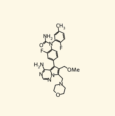 COCc1c(-c2ccc(N(C(N)=O)c3cc(C)ccc3F)c(F)c2)c2c(N)ncnn2c1CN1CCOCC1